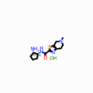 CN1CCc2nc(C(=O)N[C@H]3CCC[C@@H]3N)sc2C1.Cl